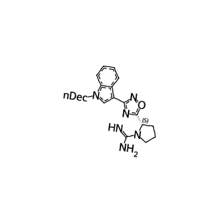 CCCCCCCCCCn1cc(-c2noc([C@@H]3CCCN3C(=N)N)n2)c2ccccc21